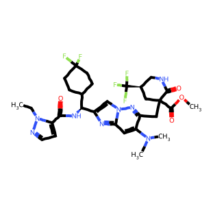 CCn1nccc1C(=O)N[C@H](c1cn2nc(CC3(C(=O)OC)C[C@@H](C(F)(F)F)CNC3=O)c(N(C)C)cc2n1)C1CCC(F)(F)CC1